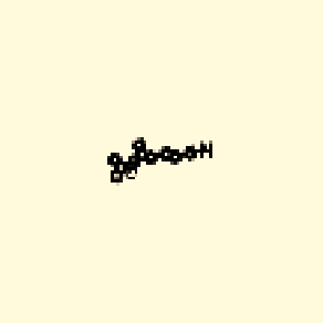 N#Cc1ccc(-c2ccc3cc(-c4ccc5c(c4)c4ccccc4c4cc6c(cc54)oc4c5ccccc5c5ccccc5c64)ccc3c2)cc1